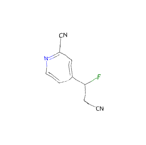 N#CCC(F)c1ccnc(C#N)c1